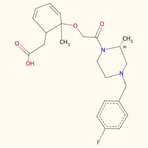 C[C@@H]1CN(Cc2ccc(F)cc2)CCN1C(=O)COC1(C)C=CC=CC1CC(=O)O